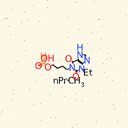 CCCC.CCn1c(=O)n(CCCCO[PH](=O)O)c(=O)c2[nH]cnc21